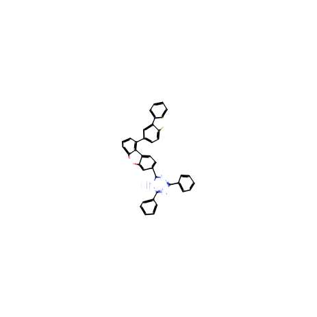 c1ccc(C2=NC(c3ccc4c(c3)oc3cccc(-c5ccc6sc7ccccc7c6c5)c34)NC(c3ccccc3)=N2)cc1